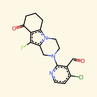 O=Cc1c(Cl)ccnc1N1CCn2c(c(F)c3c2CCCC3=O)C1